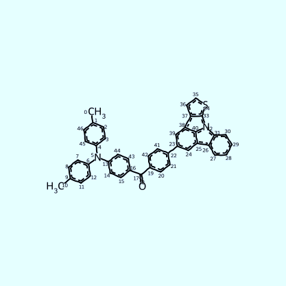 Cc1ccc(N(c2ccc(C)cc2)c2ccc(C(=O)c3ccc(-c4cc5c6ccccc6n6c7sccc7c(c4)c56)cc3)cc2)cc1